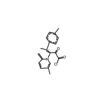 C=C1C=CC(C)=CN1/C(C(=O)C(=O)Cl)=C(\C)c1ccc(C)cc1